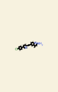 Cc1cc(N)nc2ccc(C#Cc3ccc(-c4ccc(Cl)cc4)cn3)cc12